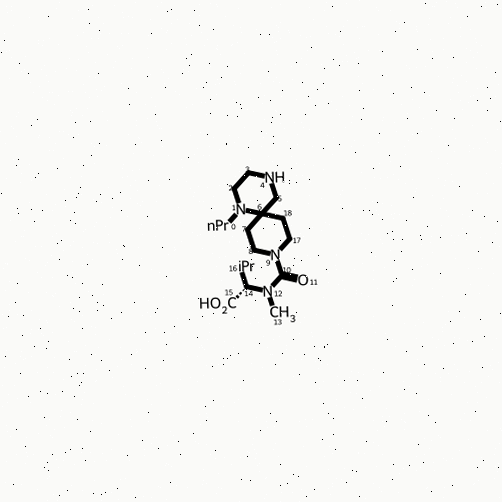 CCCN1CCNCC12CCN(C(=O)N(C)[C@H](C(=O)O)C(C)C)CC2